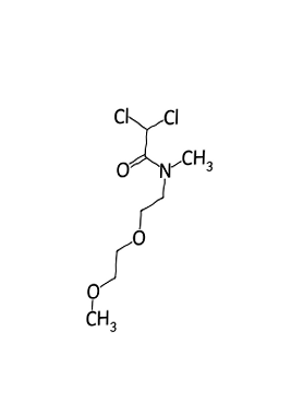 COCCOCCN(C)C(=O)C(Cl)Cl